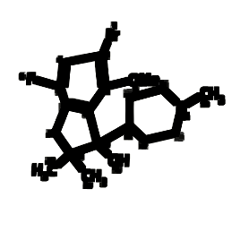 COc1c(Br)cc(F)c2c1C(O)(C1CCN(C)CC1)C(C)(C)C2